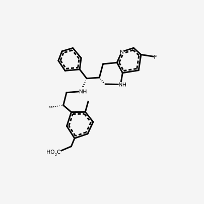 Cc1ccc(CC(=O)O)cc1[C@H](C)CN[C@H](c1ccccc1)[C@H]1CNc2cc(F)cnc2C1